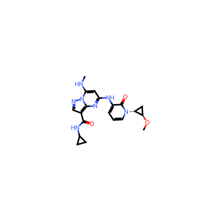 CNc1cc(Nc2cccn([C@@H]3C[C@H]3OC)c2=O)nc2c(C(=O)NC3CC3)cnn12